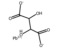 O=C([O-])C(O)C(O)C(=O)[O-].[Pb+2]